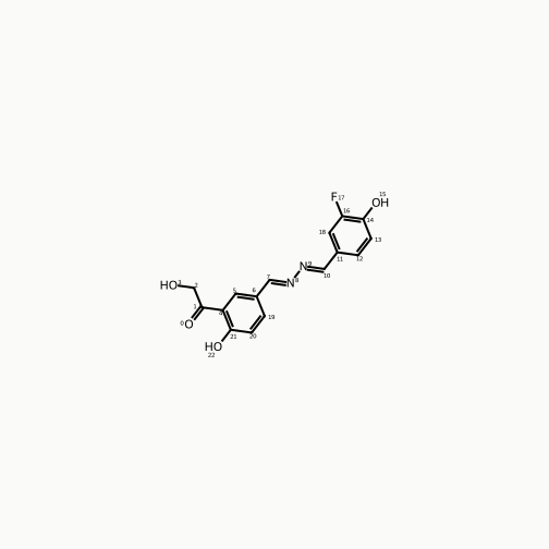 O=C(CO)c1cc(/C=N/N=C/c2ccc(O)c(F)c2)ccc1O